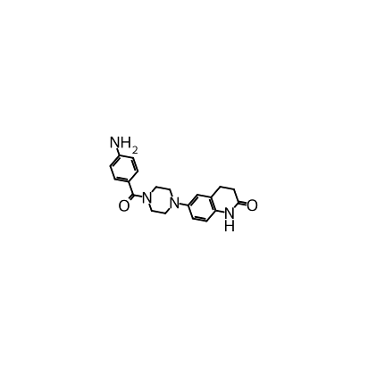 Nc1ccc(C(=O)N2CCN(c3ccc4c(c3)CCC(=O)N4)CC2)cc1